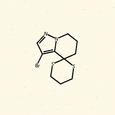 Brc1cnn2c1C1(CCC2)SCCCS1